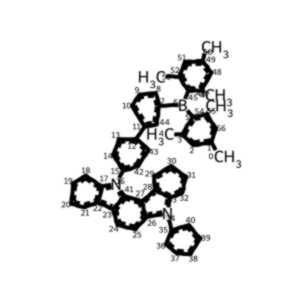 Cc1cc(C)c(B(c2cccc(-c3ccc(-n4c5ccccc5c5ccc6c(c7ccccc7n6-c6ccccc6)c54)cc3)c2)c2c(C)cc(C)cc2C)c(C)c1